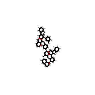 Cc1cc(-c2ccc(N(c3c(C)cccc3-c3cccc4c3oc3ccccc34)c3cccc4ccccc34)c(C)c2)ccc1N(c1c(C)cccc1-c1cccc2c1oc1ccccc12)c1cccc2ccccc12